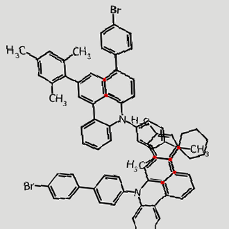 Cc1cc(C)c(-c2cccc(-c3ccccc3N(c3ccc(-c4ccc(Br)cc4)cc3)c3ccc(C4(c5ccc(N(c6ccc(-c7ccc(Br)cc7)cc6)c6ccccc6-c6cccc(-c7c(C)cc(C)cc7C)c6)cc5)CCCCC4)cc3)c2)c(C)c1